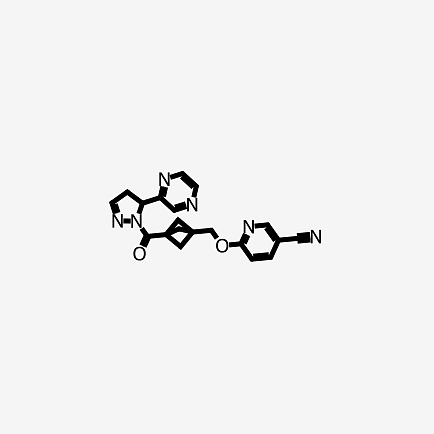 N#Cc1ccc(OCC23CC(C(=O)N4N=CCC4c4cnccn4)(C2)C3)nc1